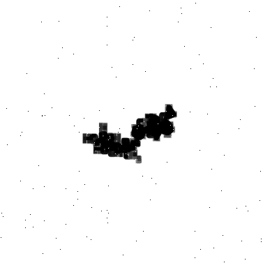 CC(CCSc1ccc(Cl)c(COC2(c3cnccc3-c3ccccc3OC3CC3)CC2)c1)C(=O)NC[C@H](O)[C@@H](O)[C@H](O)[C@H](O)CO